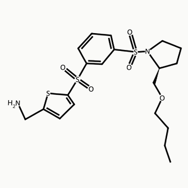 CCCCOC[C@@H]1CCCN1S(=O)(=O)c1cccc(S(=O)(=O)c2ccc(CN)s2)c1